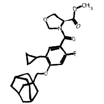 COC(=O)[C@@H]1COCN1C(=O)c1cc(C2CC2)c(OCC23CC4CC(CC(C4)C2)C3)cc1F